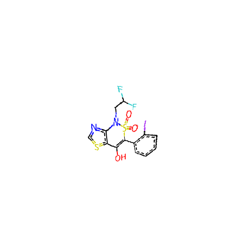 O=S1(=O)C(c2ccccc2I)=C(O)c2scnc2N1CC(F)F